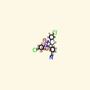 CCC1N(c2ccc(Cl)cc2)C(=O)N(c2ccc(Cl)cc2)C1(O)c1cccc(C#N)c1